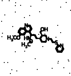 CONC(CC[C@@H]1CCN(CCSc2ccccn2)C[C@@H]1CO)c1ccnc2ccc(OC)cc12